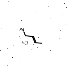 CC=C[CH2][Pd].Cl